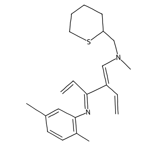 C=CC(=C\N(C)CC1CCCCS1)/C(C=C)=N/c1cc(C)ccc1C